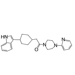 O=C(CC1CCC(c2c[nH]c3ccccc23)CC1)N1CCN(c2ccccn2)CC1